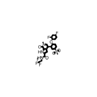 Cn1cc(-c2cc(S(C)(=O)=O)ccc2Oc2ccc(F)cc2F)c2cc(C(=O)NCC(F)(F)F)[nH]c2c1=O